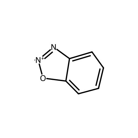 c1ccc2c(c1)N=[N+]O2